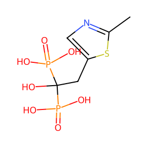 Cc1ncc(CC(O)(P(=O)(O)O)P(=O)(O)O)s1